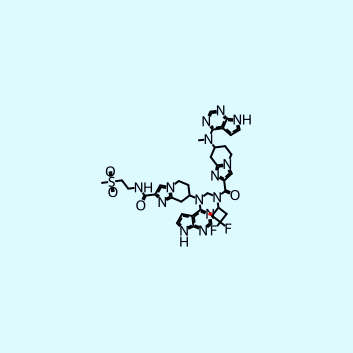 CN(c1ncnc2[nH]ccc12)C1CCn2cc(C(=O)N(CN(c3ncnc4[nH]ccc34)C3CCn4cc(C(=O)NCCS(C)(=O)=O)nc4C3)C3CC(F)(F)C3)nc2C1